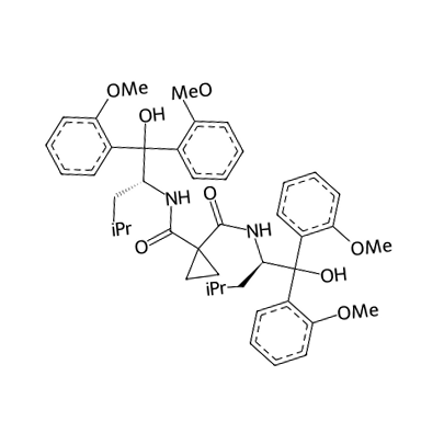 COc1ccccc1C(O)(c1ccccc1OC)[C@@H](CC(C)C)NC(=O)C1(C(=O)N[C@H](CC(C)C)C(O)(c2ccccc2OC)c2ccccc2OC)CC1